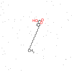 CCCCCCCCCCCCCCCCCc1ccc2c(O)cc(=O)oc2c1